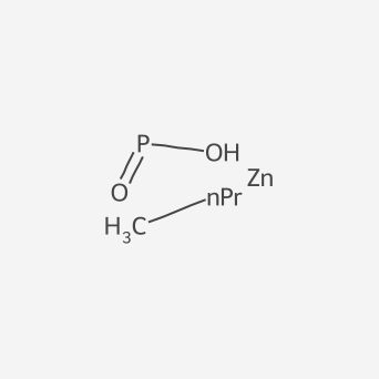 CCCC.O=PO.[Zn]